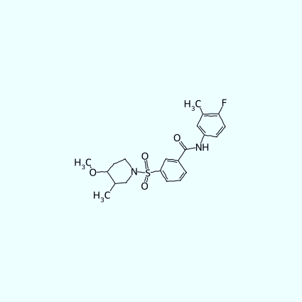 COC1CCN(S(=O)(=O)c2cccc(C(=O)Nc3ccc(F)c(C)c3)c2)CC1C